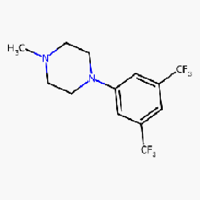 CN1CCN(c2cc(C(F)(F)F)cc(C(F)(F)F)c2)CC1